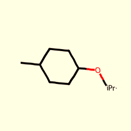 C[C](C)OC1CCC(C)CC1